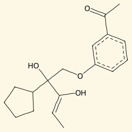 CC=C(O)C(O)(COc1cccc(C(C)=O)c1)C1CCCC1